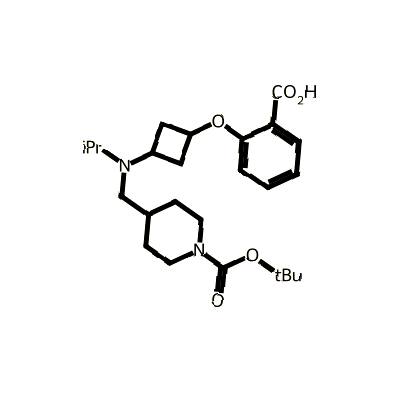 CC(C)N(CC1CCN(C(=O)OC(C)(C)C)CC1)C1CC(Oc2ccccc2C(=O)O)C1